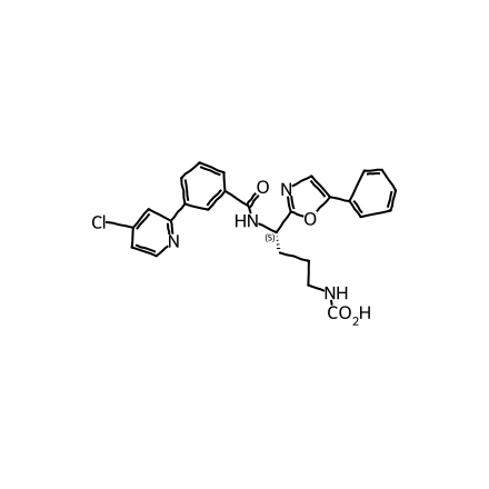 O=C(O)NCCC[C@H](NC(=O)c1cccc(-c2cc(Cl)ccn2)c1)c1ncc(-c2ccccc2)o1